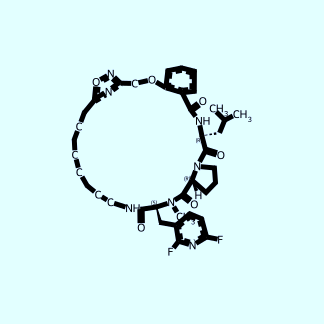 CC(C)C[C@H]1NC(=O)c2ccccc2OCc2noc(n2)CCCCCCCCNC(=O)[C@H](Cc2ccc(F)nc2F)N(C)C(=O)[C@H]2CCCN2C1=O